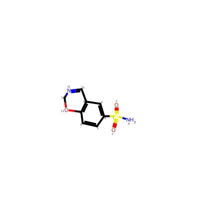 NS(=O)(=O)c1ccc2c(c1)C=NCO2